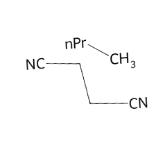 CCCC.N#CCCC#N